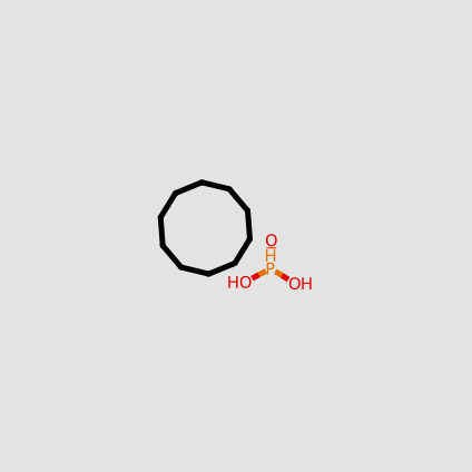 C1CCCCCCCCC1.O=[PH](O)O